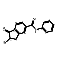 O=C(Nc1ccccc1)c1ccc2c(c1)CC(Br)C2=O